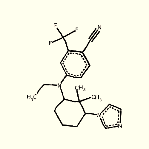 CCN(c1ccc(C#N)c(C(F)(F)F)c1)C1CCCC(n2ccnc2)C1(C)C